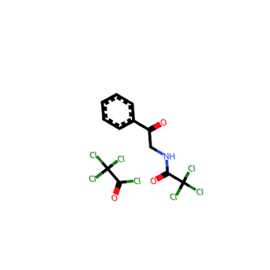 O=C(CNC(=O)C(Cl)(Cl)Cl)c1ccccc1.O=C(Cl)C(Cl)(Cl)Cl